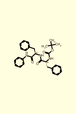 CC(C)(C)OC(=O)N[C@H](Cc1ccccc1)C(=O)N[C@H](Cc1ccccc1)C(=O)Nc1cc[c]cc1